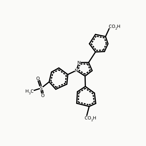 CS(=O)(=O)c1ccc(-n2nc(-c3ccc(C(=O)O)cc3)cc2-c2ccc(C(=O)O)cc2)cc1